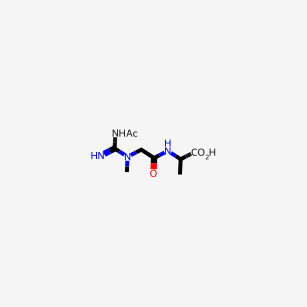 CC(=O)NC(=N)N(C)CC(=O)NC(C)C(=O)O